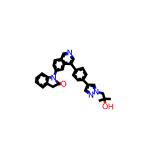 CC(C)(O)Cn1cc(-c2ccc(-c3cncc4ccc(N5C(=O)Cc6ccccc65)cc34)cc2)cn1